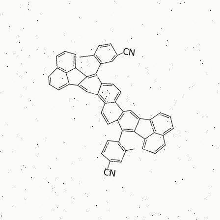 Cc1cc(C#N)ccc1-c1c2c(cc3c1ccc1c4cc5c(c(-c6cc(C#N)ccc6C)c4ccc31)-c1cccc3cccc-5c13)-c1cccc3cccc-2c13